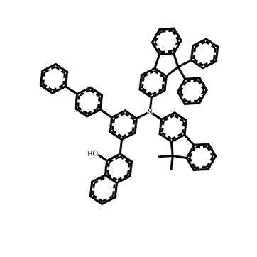 CC1(C)c2ccccc2-c2ccc(N(c3cc(-c4ccc(-c5ccccc5)cc4)cc(-c4ccc5ccccc5c4O)c3)c3ccc4c(c3)C(c3ccccc3)(c3ccccc3)c3ccccc3-4)cc21